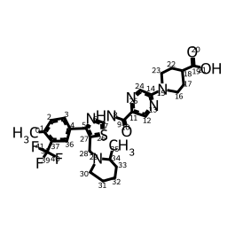 Cc1ccc(-c2nc(NC(=O)c3cnc(N4CCC(C(=O)O)CC4)cn3)sc2CN2CCCCC2C)cc1C(F)(F)F